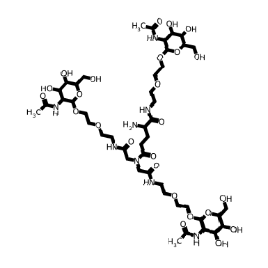 CC(=O)NC1C(OCCOCCNC(=O)CN(CC(=O)NCCOCCOC2OC(CO)C(O)C(O)C2NC(C)=O)C(=O)CCC(N)C(=O)NCCOCCOC2OC(CO)C(O)C(O)C2NC(C)=O)OC(CO)C(O)C1O